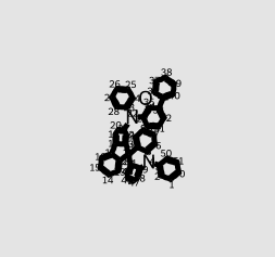 c1ccc(N2c3ccccc3C3(c4ccccc4-c4ccc(N(c5ccccc5)c5cccc6c5oc5ccccc56)cc43)c3ccccc32)cc1